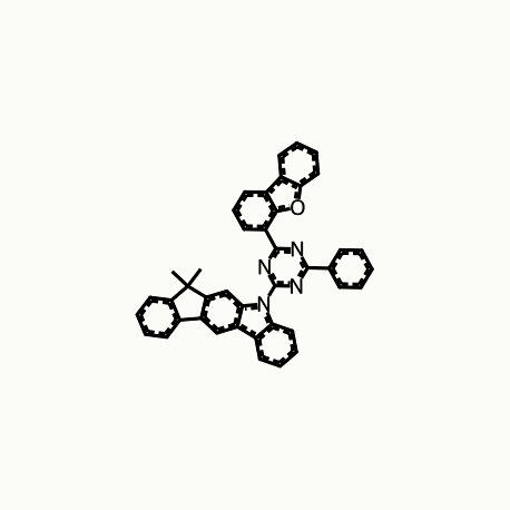 CC1(C)c2ccccc2-c2cc3c4ccccc4n(-c4nc(-c5ccccc5)nc(-c5cccc6c5oc5ccccc56)n4)c3cc21